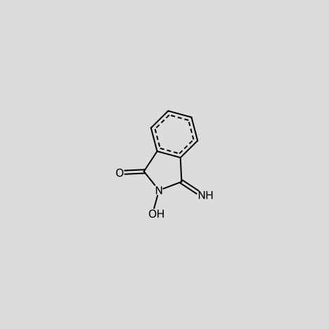 N=C1c2ccccc2C(=O)N1O